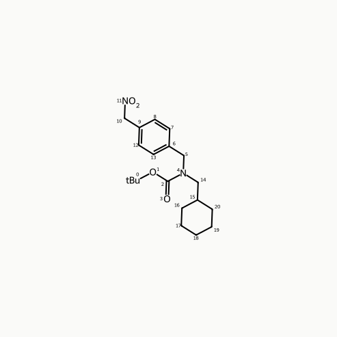 CC(C)(C)OC(=O)N(Cc1ccc(C[N+](=O)[O-])cc1)CC1CCCCC1